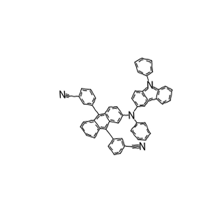 N#Cc1cccc(-c2c3ccccc3c(-c3cccc(C#N)c3)c3cc(N(c4ccccc4)c4ccc5c(c4)c4ccccc4n5-c4ccccc4)ccc23)c1